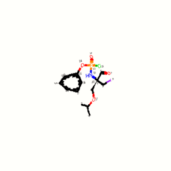 CC(C)OC[C@@](C=O)(CI)NP(=O)(Cl)Oc1ccccc1